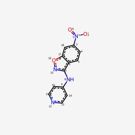 O=[N+]([O-])c1ccc2c(Nc3ccncc3)noc2c1